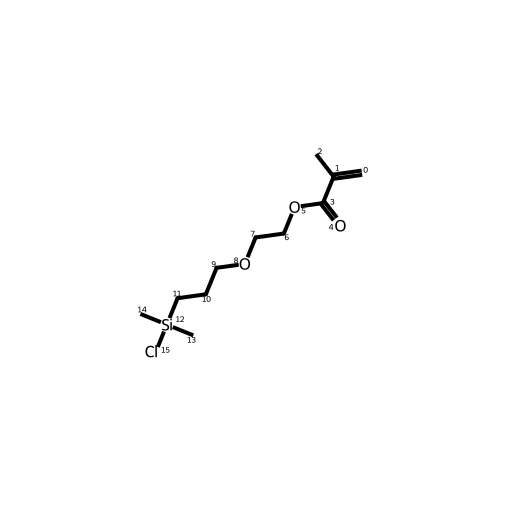 C=C(C)C(=O)OCCOCCC[Si](C)(C)Cl